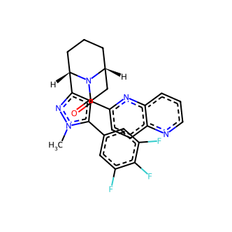 Cn1nc2c(c1-c1cc(F)c(F)c(F)c1)C[C@H]1CCC[C@@H]2N1C(=O)c1ccc2ncccc2n1